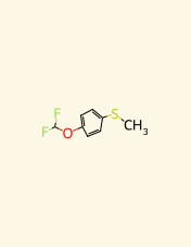 CSc1ccc(OC(F)F)cc1